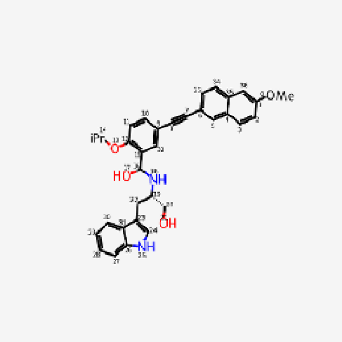 COc1ccc2cc(C#Cc3ccc(OC(C)C)c(C(O)N[C@H](CO)Cc4c[nH]c5ccccc45)c3)ccc2c1